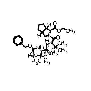 C=C(N[C@H](C(=O)N1C[C@@H]2CCC[C@@H]2C1C(=O)OCC)C(C)(C)C)[C@@H](NC(=O)OCc1ccccc1)C(C)(C)C